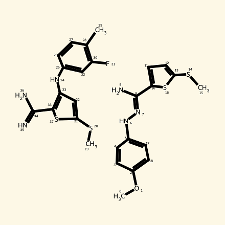 COc1ccc(NN=C(N)c2ccc(SC)s2)cc1.CSc1cc(Nc2ccc(C)c(F)c2)c(C(=N)N)s1